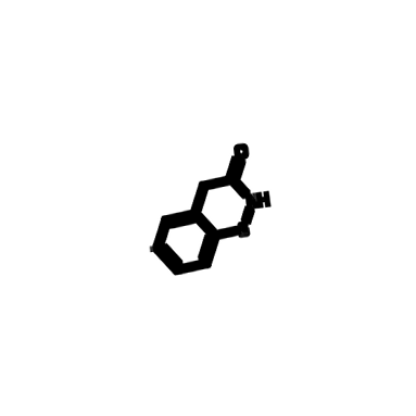 O=C1Cc2c[c]ccc2SN1